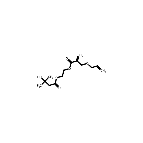 C=CCOCC(=C)C(=O)OCCOC(=O)CC(O)(C(F)(F)F)C(F)(F)F